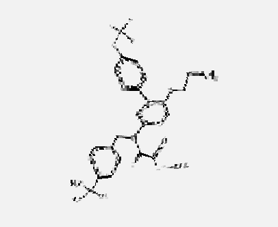 CCCOc1ccc(N(Cc2ccc(C(C)(C)C)cc2)C(=O)C(=O)OC)cc1-c1ccc(OC(F)(F)F)cc1